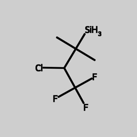 CC(C)([SiH3])C(Cl)C(F)(F)F